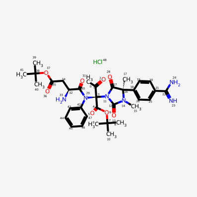 CC(=O)[C@@](C(=O)OC(C)(C)C)(N1C(=O)N(C)[C@](C)(c2ccc(C(=N)N)cc2)C1=O)N(C(=O)[C@@H](N)CC(=O)OC(C)(C)C)c1ccccc1.Cl